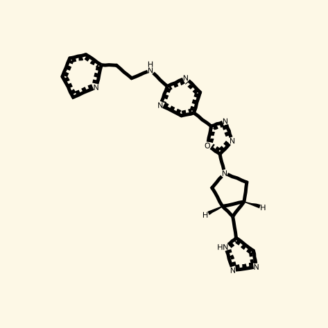 c1ccc(CCNc2ncc(-c3nnc(N4C[C@@H]5C(c6cnn[nH]6)[C@@H]5C4)o3)cn2)nc1